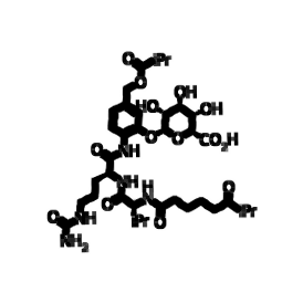 CC(C)C(=O)CCCCC(=O)N[C@H](C(=O)N[C@@H](CCCNC(N)=O)C(=O)Nc1ccc(COC(=O)C(C)C)cc1O[C@@H]1O[C@H](C(=O)O)[C@@H](O)[C@H](O)[C@H]1O)C(C)C